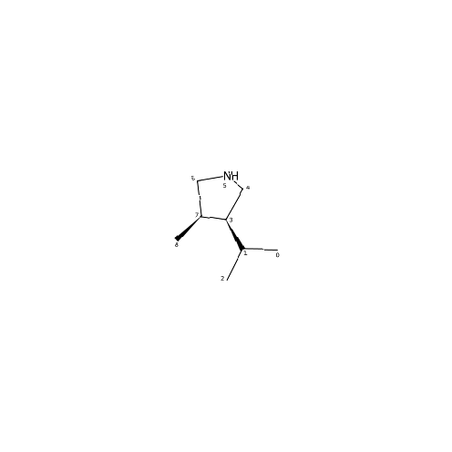 CC(C)[C@@H]1CNC[C@@H]1C